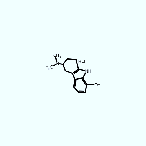 CN(C)C1CCc2[nH]c3c(O)cccc3c2C1.Cl